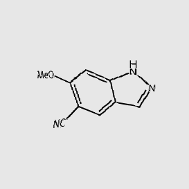 COc1cc2[nH]ncc2cc1C#N